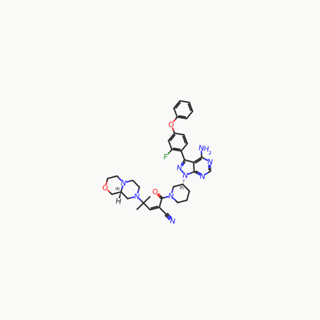 CC(C)(C=C(C#N)C(=O)N1CCC[C@@H](n2nc(-c3ccc(Oc4ccccc4)cc3F)c3c(N)ncnc32)C1)N1CCN2CCOC[C@H]2C1